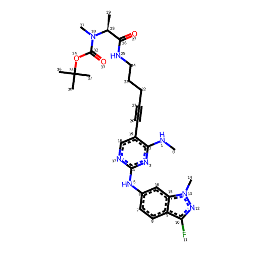 CNc1nc(Nc2ccc3c(F)nn(C)c3c2)ncc1C#CCCCNC(=O)[C@H](C)N(C)C(=O)OC(C)(C)C